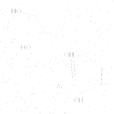 CC(C)=O.OCC(O)CO.c1ccccc1